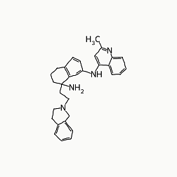 Cc1cc(Nc2ccc3c(c2)C(N)(CCN2CCc4ccccc4C2)CCC3)c2ccccc2n1